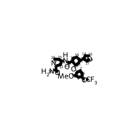 COc1cc(OC(F)(F)F)ccc1Oc1cc(-c2ccoc2)ccc1C(=O)Nc1ccnc(C(N)=O)c1